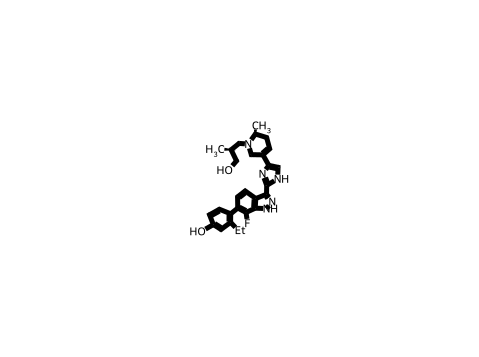 CCc1cc(O)ccc1-c1ccc2c(-c3nc(C4=CC[C@H](C)N(C[C@H](C)CO)C4)c[nH]3)n[nH]c2c1F